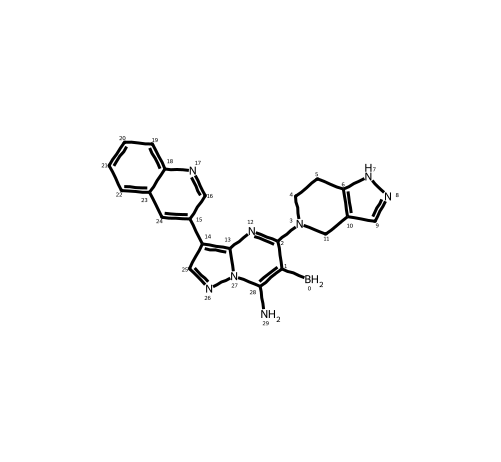 Bc1c(N2CCc3[nH]ncc3C2)nc2c(-c3cnc4ccccc4c3)cnn2c1N